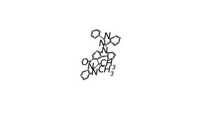 CC1(C)c2c(ccc3c2c2ccccc2n3-c2nc(-c3ccccc3)nc3ccccc23)C(=O)n2c1nc1ccccc12